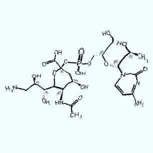 CC(=O)N[C@H]1C([C@H](O)[C@H](O)CN)O[C@](OP(=O)(O)OC[C@H](CO)O[C@H]([C@H](C)O)n2ccc(N)nc2=O)(C(=O)O)C[C@H]1O